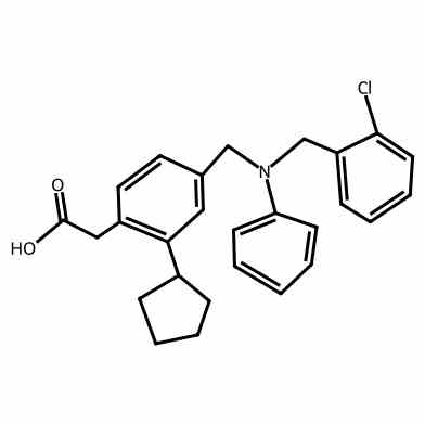 O=C(O)Cc1ccc(CN(Cc2ccccc2Cl)c2ccccc2)cc1C1CCCC1